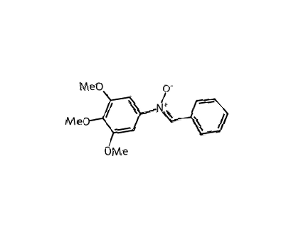 COc1cc([N+]([O-])=Cc2ccccc2)cc(OC)c1OC